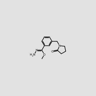 COC(=NN)c1cccc(CN2CCCC2=O)c1